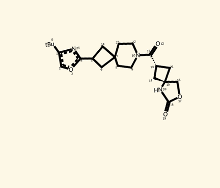 CC(C)(C)c1coc(C2CC3(CCN(C(=O)[C@H]4C[C@]5(COC(=O)N5)C4)CC3)C2)n1